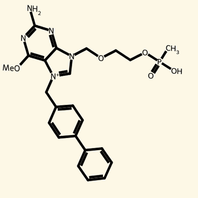 COc1nc(N)nc2c1[n+](Cc1ccc(-c3ccccc3)cc1)cn2COCCOP(C)(=O)O